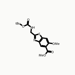 COC(=O)c1cc2nc(CNC(=O)OC(C)(C)C)sc2cc1OC